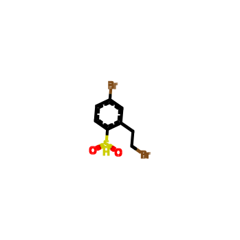 O=[SH](=O)c1ccc(Br)cc1CCBr